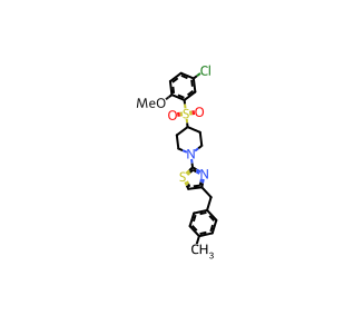 COc1ccc(Cl)cc1S(=O)(=O)C1CCN(c2nc(Cc3ccc(C)cc3)cs2)CC1